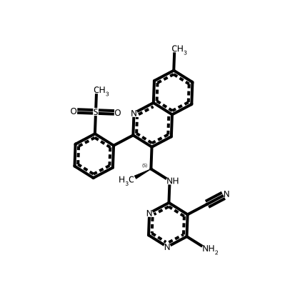 Cc1ccc2cc([C@H](C)Nc3ncnc(N)c3C#N)c(-c3ccccc3S(C)(=O)=O)nc2c1